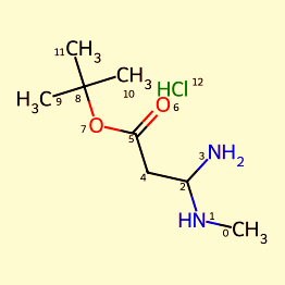 CNC(N)CC(=O)OC(C)(C)C.Cl